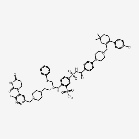 CC1(C)CCC(c2ccc(Cl)cc2)=C(CN2CCN(c3ccc(C(=O)NS(=O)(=O)c4ccc(N[C@H](CCN5CCN(Cc6cc(N7CCC(=O)NC7=O)c(F)nn6)CC5)CSc5ccccc5)c(S(=O)(=O)C(F)(F)F)c4)cc3)CC2)C1